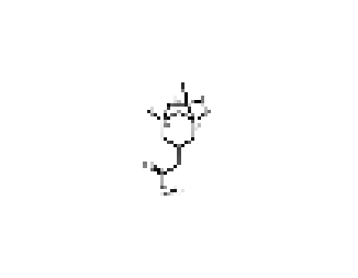 COC(=O)CC1C[C@@H]2CC(F)(F)[C@H](C1)N2